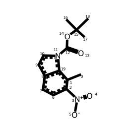 Cc1c([N+](=O)[O-])ccc2ccn(C(=O)OC(C)(C)C)c12